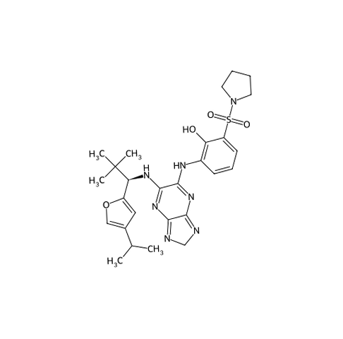 CC(C)c1coc([C@H](Nc2nc3c(nc2Nc2cccc(S(=O)(=O)N4CCCC4)c2O)=NCN=3)C(C)(C)C)c1